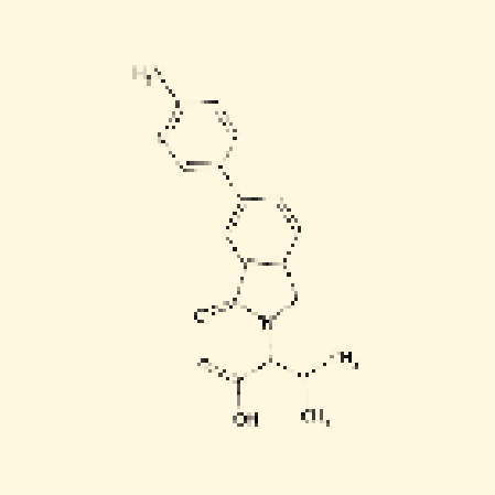 CC(C)C(C(=O)O)N1Cc2ccc(-c3ccc(N)nc3)cc2C1=O